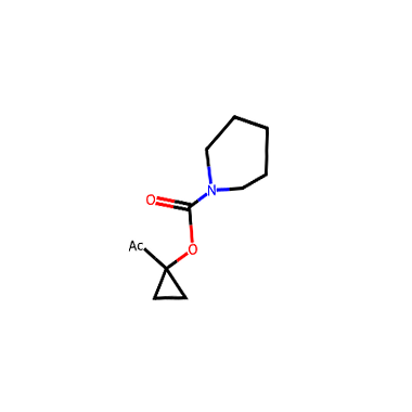 CC(=O)C1(OC(=O)N2CCCCC2)CC1